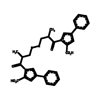 CC(CSSCC(C)C(=O)n1cc(-c2ccccc2)cc1C(=O)O)C(=O)n1cc(-c2ccccc2)cc1C(=O)O